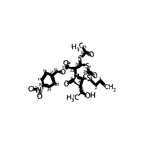 C=CCS[C@@H]1[C@@H]([C@@H](C)O)C(=O)N1C(C(=O)OCc1ccc([N+](=O)[O-])cc1)=C(SC(C)=O)SC(C)=O